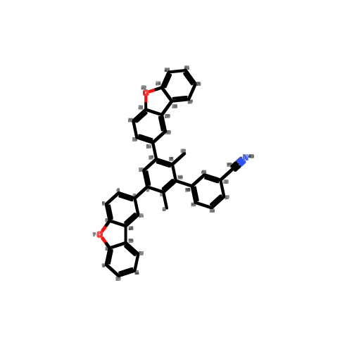 Cc1c(-c2ccc3oc4ccccc4c3c2)cc(-c2ccc3oc4ccccc4c3c2)c(C)c1-c1cccc(C#N)c1